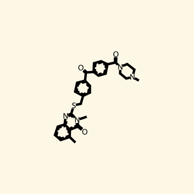 Cc1cccc2nc(SCc3ccc(C(=O)c4ccc(C(=O)N5CCN(C)CC5)cc4)cc3)n(C)c(=O)c12